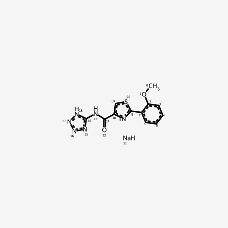 COc1ccccc1-c1nc(C(=O)Nc2nnn[nH]2)cs1.[NaH]